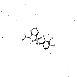 O=S(=O)(Nc1ccc(F)c(Br)c1F)c1cccnc1OC(F)F